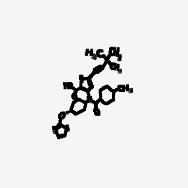 CC1CCC(C(=O)N(c2cc(C#CC(C)(C)C)sc2C(=O)O)[C@H]2CC[C@H](Oc3nccs3)CC2)CC1